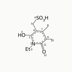 CCn1c(O)c(CS(=O)(=O)O)c(C)c(C)c1=O